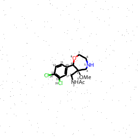 CO[C@]1(CNC(C)=O)CNCCOC1c1ccc(Cl)c(Cl)c1